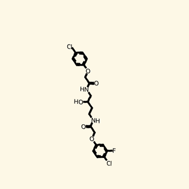 O=C(COc1ccc(Cl)c(F)c1)NCCC(O)CNC(=O)COc1ccc(Cl)cc1